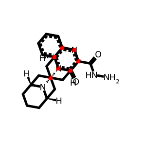 NNC(=O)c1nc2ccccc2n([C@H]2C[C@H]3CCC[C@@H](C2)N3[C@H]2C[C@@H]3CCC[C@@H](C3)C2)c1=O